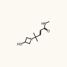 CNC(=O)C=CC(C)(C)N1CC(O)C1